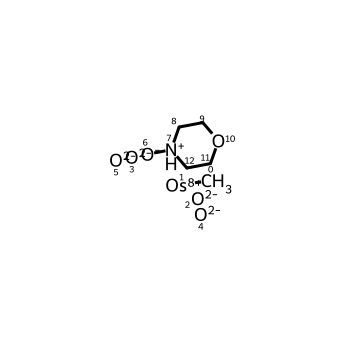 [CH3][Os+8].[O-2].[O-2].[O-2].[O-2].[O-][NH+]1CCOCC1